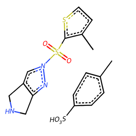 Cc1ccc(S(=O)(=O)O)cc1.Cc1ccsc1S(=O)(=O)n1cc2c(n1)CNC2